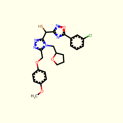 COc1ccc(OCc2nnc(C(S)c3noc(-c4cccc(Cl)c4)n3)n2CC2CCCO2)cc1